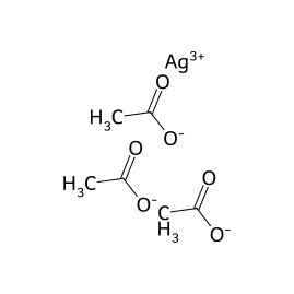 CC(=O)[O-].CC(=O)[O-].CC(=O)[O-].[Ag+3]